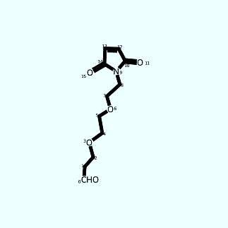 O=CCCOCCOCCN1C(=O)C=CC1=O